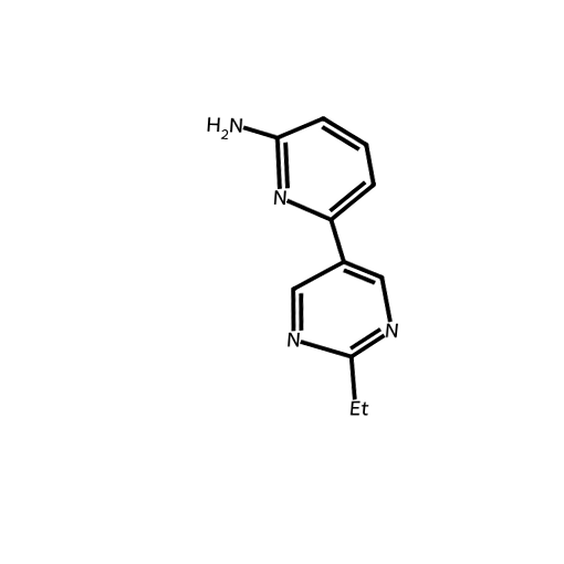 CCc1ncc(-c2cccc(N)n2)cn1